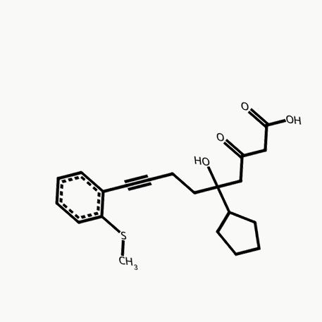 CSc1ccccc1C#CCCC(O)(CC(=O)CC(=O)O)C1CCCC1